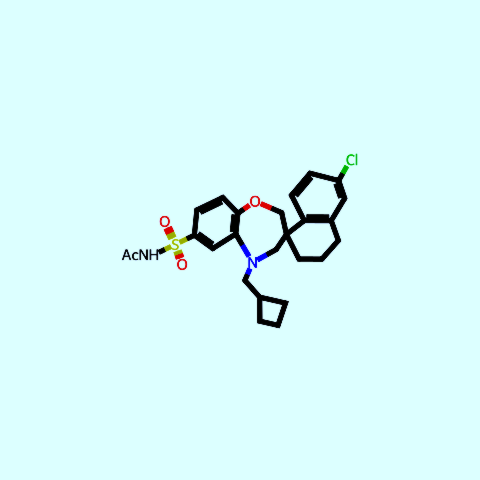 CC(=O)NS(=O)(=O)c1ccc2c(c1)N(CC1CCC1)CC1(CCCc3cc(Cl)ccc31)CO2